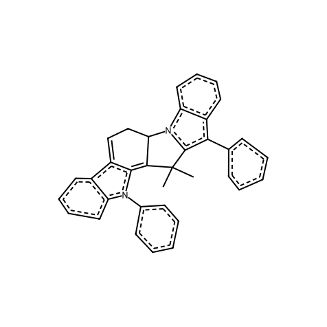 CC1(C)C2=c3c(c4ccccc4n3-c3ccccc3)=CCC2n2c1c(-c1ccccc1)c1ccccc12